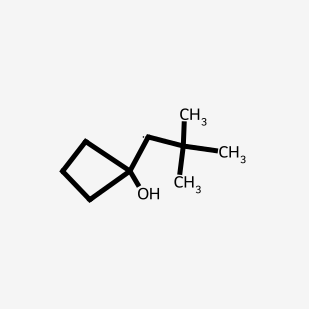 CC(C)(C)[CH]C1(O)CCC1